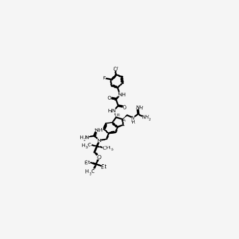 CCC(C)(CC)OCC(C)(C)N(Cc1ccc2c(c1)C[C@H](CNC(=N)N)[C@H]2NC(=O)C(=O)Nc1ccc(Cl)c(F)c1)C(=N)N